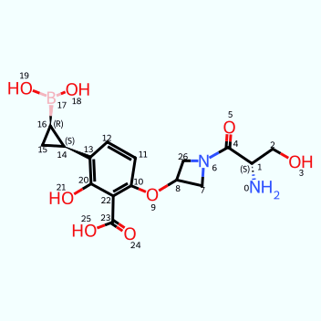 N[C@@H](CO)C(=O)N1CC(Oc2ccc([C@H]3C[C@H]3B(O)O)c(O)c2C(=O)O)C1